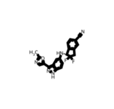 Cc1ncc(-c2n[nH]c3ccc(N[C@@H]4c5ccc(C#N)cc5CC4(F)F)cc23)o1